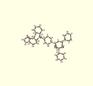 c1ccc(-c2cc(-c3ccc(-n4c5ccccc5c5c6sccc6ccc54)cc3)nc(-c3ccccc3)n2)cc1